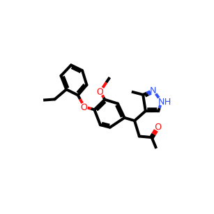 CCc1ccccc1Oc1ccc(C(CC(C)=O)c2c[nH]nc2C)cc1OC